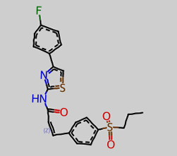 CCCS(=O)(=O)c1ccc(/C=C\C(=O)Nc2nc(-c3ccc(F)cc3)cs2)cc1